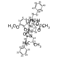 COc1ccc2c3c1O[C@H]1[C@@H](N(CC(C)C)C(=O)C#Cc4ccccc4)CCC4(OC(C)=O)[C@@H](C2)N(CCc2ccccc2)CC[C@]314